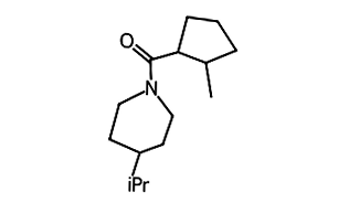 CC(C)C1CCN(C(=O)C2CCCC2C)CC1